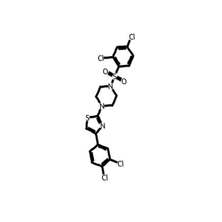 O=S(=O)(c1ccc(Cl)cc1Cl)N1CCN(c2nc(-c3ccc(Cl)c(Cl)c3)cs2)CC1